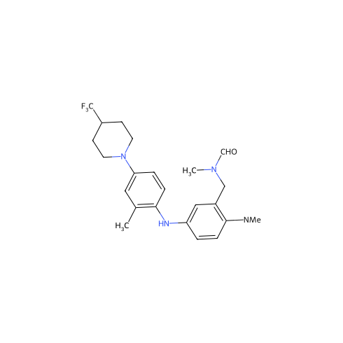 CNc1ccc(Nc2ccc(N3CCC(C(F)(F)F)CC3)cc2C)cc1CN(C)C=O